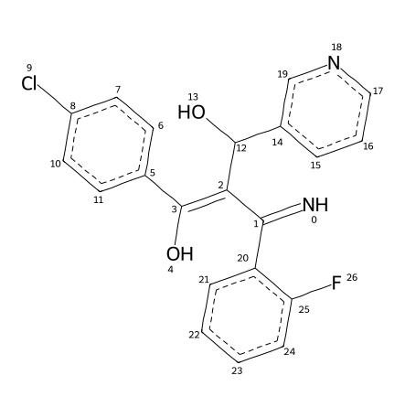 N=C(/C(=C(\O)c1ccc(Cl)cc1)C(O)c1cccnc1)c1ccccc1F